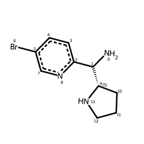 NC(c1ccc(Br)cn1)[C@@H]1CCCN1